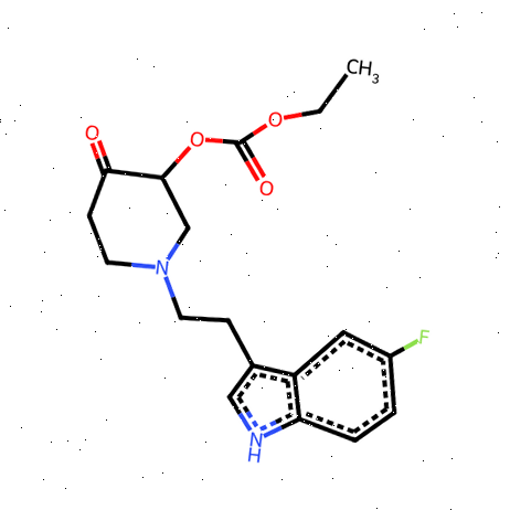 CCOC(=O)OC1CN(CCc2c[nH]c3ccc(F)cc23)CCC1=O